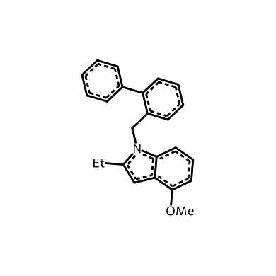 CCc1cc2c(OC)cccc2n1Cc1ccccc1-c1ccccc1